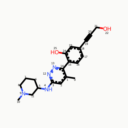 Cc1cc(NC2CCCN(C)C2)nnc1-c1ccc(C#CCO)cc1O